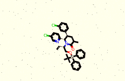 CC[C@@H](CO[Si](c1ccccc1)(c1ccccc1)C(C)(C)C)N1C(=O)C(C)C[C@H](c2cccc(Cl)c2)[C@H]1c1ccc(Cl)cn1